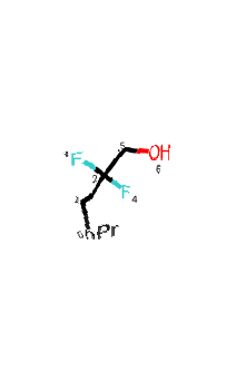 CCCCC(F)(F)[CH]O